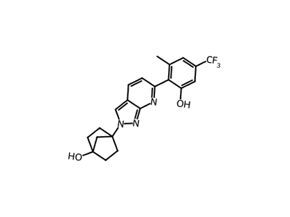 Cc1cc(C(F)(F)F)cc(O)c1-c1ccc2cn(C34CCC(O)(CC3)C4)nc2n1